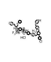 CC1(CN2CCC(CN3CCNCC3)CC2)CCC(c2ccc(Cl)cc2)=C(CN2CCN(c3ccc(C(=O)NS(=O)(=O)c4ccc(NC(CCN5CCOCC5)CSc5ccccc5)c(S(=O)(=O)C(F)(F)F)c4)cc3)CC2)C1.Cl